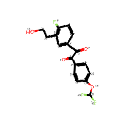 O=C(C(=O)c1ccc(F)c(CCO)c1)c1ccc(OC(F)F)cc1